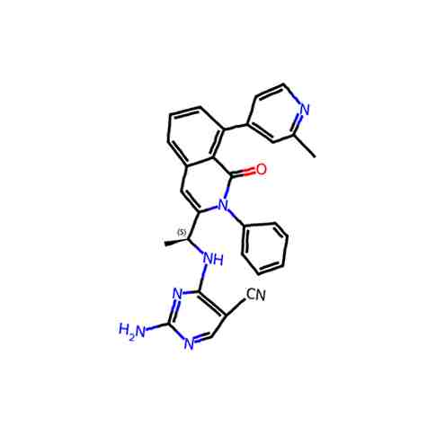 Cc1cc(-c2cccc3cc([C@H](C)Nc4nc(N)ncc4C#N)n(-c4ccccc4)c(=O)c23)ccn1